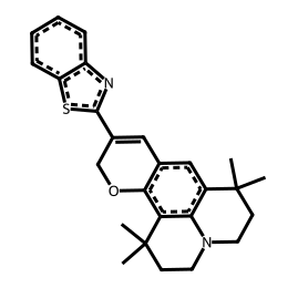 CC1(C)CCN2CCC(C)(C)c3c4c(cc1c32)C=C(c1nc2ccccc2s1)CO4